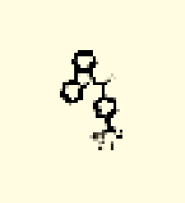 O=C(NO)c1ccc(C(=O)n2c3ccccc3c3ccccc32)cc1